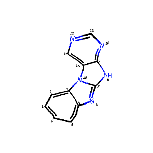 c1ccc2c(c1)nc1[nH]c3ncncc3n12